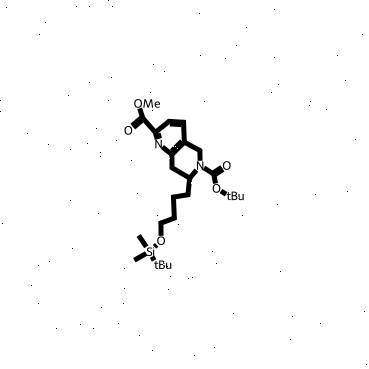 COC(=O)c1ccc2c(n1)CC(CCCCO[Si](C)(C)C(C)(C)C)N(C(=O)OC(C)(C)C)C2